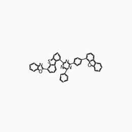 c1ccc(-c2nc(-c3ccc(-c4cccc5c4oc4ccccc45)cc3)nc(-c3cccc4sc5c(-c6nc7ccccc7o6)cccc5c34)n2)cc1